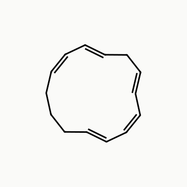 C1=C\C=C\CCC/C=C\C=C\C/C=C/1